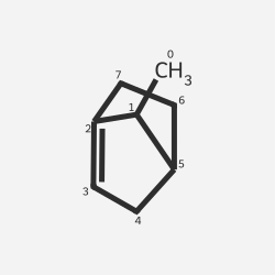 CC1C2=CCC1CC2